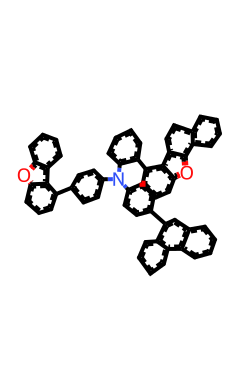 c1ccc(N(c2ccc(-c3cc4ccccc4c4ccccc34)cc2)c2ccc(-c3cccc4oc5ccccc5c34)cc2)c(-c2cccc3oc4c5ccccc5ccc4c23)c1